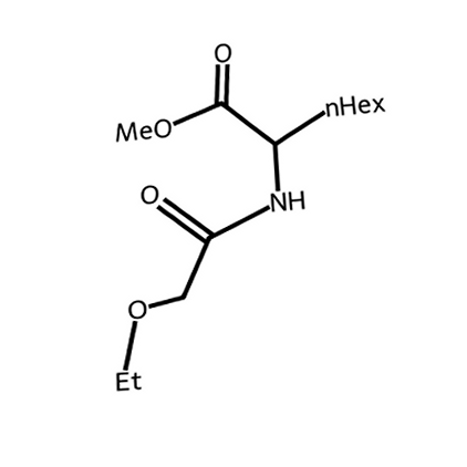 CCCCCCC(NC(=O)COCC)C(=O)OC